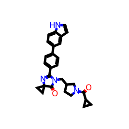 O=C(C1CC1)N1CCC(CN2C(=O)C3(CC3)N=C2c2ccc(-c3ccc4[nH]ccc4c3)cc2)C1